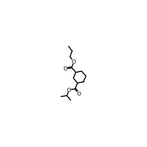 CCCOC(=O)C1CCCC(C(=O)OC(C)C)C1